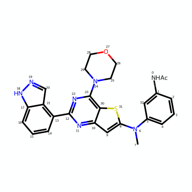 CC(=O)Nc1cccc(N(C)c2cc3nc(-c4cccc5[nH]ncc45)nc(N4CCOCC4)c3s2)c1